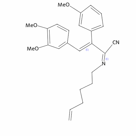 C=CCCCC/N=C(C#N)\C(=C\c1ccc(OC)c(OC)c1)c1cccc(OC)c1